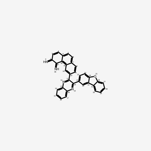 N=C1C=Cc2ccc3ccc(-c4nc5ccccc5nc4-c4ccc5oc6ccccc6c5c4)cc3c2C1=N